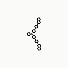 c1ccc(N(c2ccc(-c3ccc(-c4ccc5ccccc5c4)cc3)cc2)c2ccc(-c3ccc(-c4ccc5ccccc5c4)cc3)cc2)cc1